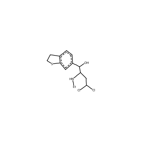 CCNC(CC(Cl)Cl)C(O)c1ccc2c(c1)SCC2